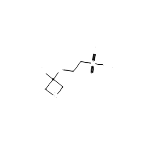 CC1(OCCS(C)(=O)=O)CNC1